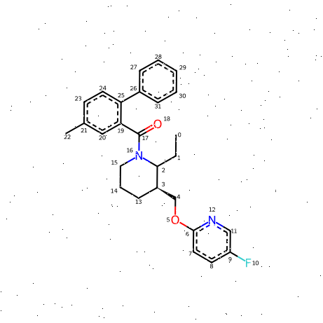 CCC1[C@@H](COc2ccc(F)cn2)CCCN1C(=O)c1cc(C)ccc1-c1ccccc1